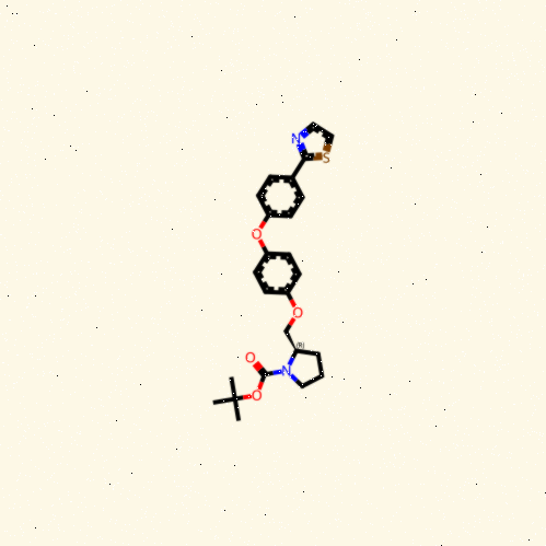 CC(C)(C)OC(=O)N1CCC[C@@H]1COc1ccc(Oc2ccc(-c3nccs3)cc2)cc1